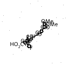 COc1cc(OC)c2c(=O)cc(-c3ccc(OC(=O)CCCNC4CCN(c5nc6c(cc5F)c(=O)c(C(=O)O)cn6-c5ccc(F)cc5F)C4)cc3)oc2c1